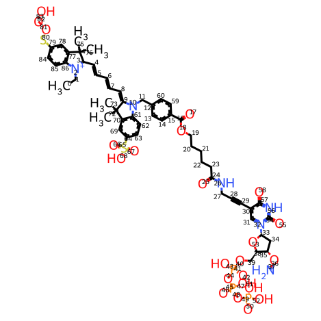 CC[N+]1=C(/C=C/C=C/C=C2/N(Cc3ccc(C(=O)OCCCCCC(=O)NCC#Cc4cn([C@H]5C[C@@H](ON)[C@@H](COP(=O)(O)OP(=O)(O)OP(=O)(O)O)O5)c(=O)[nH]c4=O)cc3)c3ccc(S(=O)(=O)O)cc3C2(C)C)C(C)(C)c2cc(SOOO)ccc21